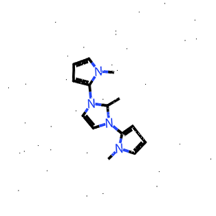 CC1N(c2cccn2C)C=CN1c1cccn1C